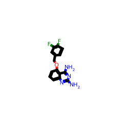 Nc1nc(N)c2c(OCc3ccc(F)c(F)c3)cccc2n1